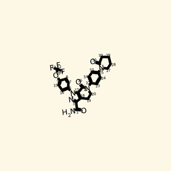 NC(=O)c1nn(-c2ccc(OC(F)(F)F)cc2)c2c1CCN(c1ccc(N3CCCCC3=O)cc1)C2=O